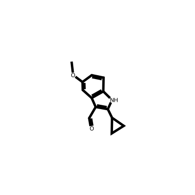 COc1ccc2[nH]c(C3CC3)c(C=O)c2c1